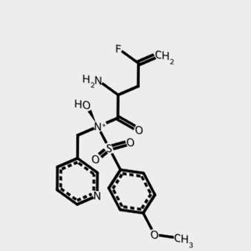 C=C(F)CC(N)C(=O)[N@@+](O)(Cc1cccnc1)S(=O)(=O)c1ccc(OC)cc1